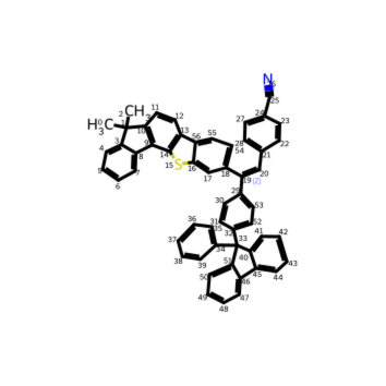 CC1(C)c2ccccc2-c2c1ccc1c2sc2cc(/C(=C\c3ccc(C#N)cc3)c3ccc(C4(c5ccccc5)c5ccccc5-c5ccccc54)cc3)ccc21